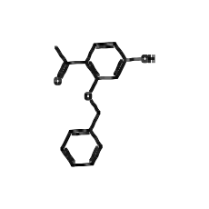 CC(=O)c1ccc(O)cc1OCc1ccccc1